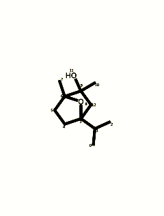 CC(C)C12CCC(C)(O1)C(C)(O)C2